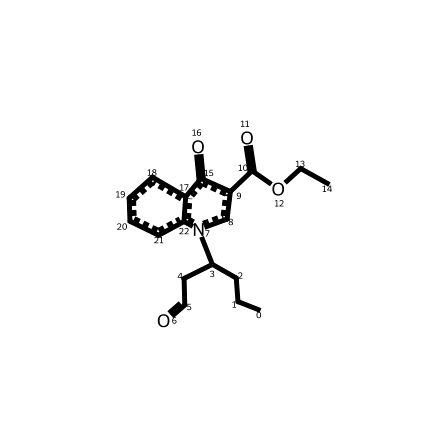 CCCC(CC=O)n1cc(C(=O)OCC)c(=O)c2ccccc21